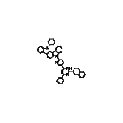 c1ccc(C2=NC(c3ccc4ccccc4c3)NC(c3ccc(-n4c5ccccc5c5c4ccc4c6ccccc6n(-c6ccccc6)c45)nc3)=N2)cc1